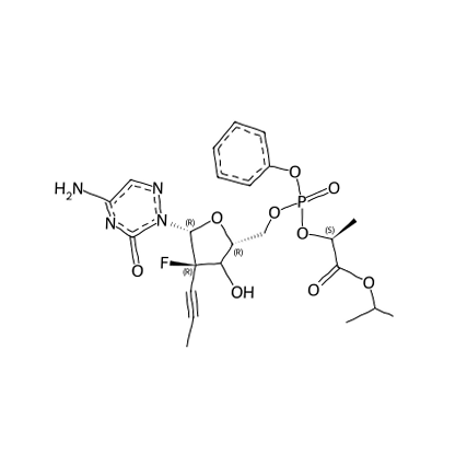 CC#C[C@@]1(F)C(O)[C@@H](COP(=O)(Oc2ccccc2)O[C@@H](C)C(=O)OC(C)C)O[C@H]1n1ncc(N)nc1=O